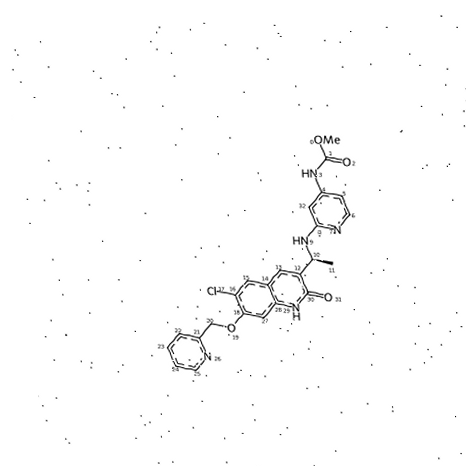 COC(=O)Nc1ccnc(N[C@@H](C)c2cc3cc(Cl)c(OCc4ccccn4)cc3[nH]c2=O)c1